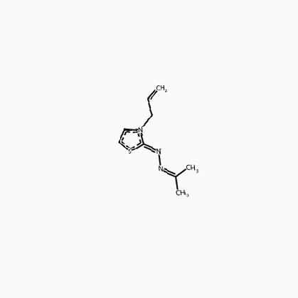 C=CCn1ccsc1=NN=C(C)C